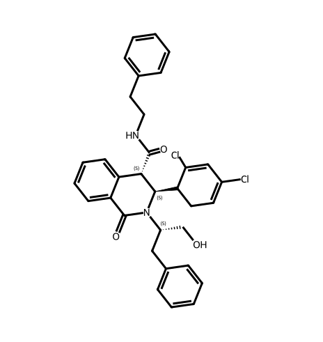 O=C(NCCc1ccccc1)[C@H]1c2ccccc2C(=O)N([C@H](CO)Cc2ccccc2)[C@@H]1C1CC=C(Cl)C=C1Cl